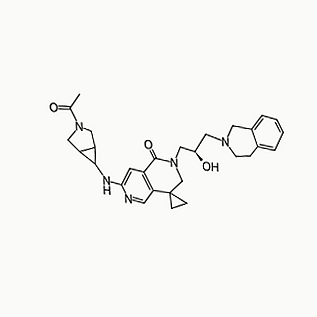 CC(=O)N1CC2C(C1)C2Nc1cc2c(cn1)C1(CC1)CN(C[C@H](O)CN1CCc3ccccc3C1)C2=O